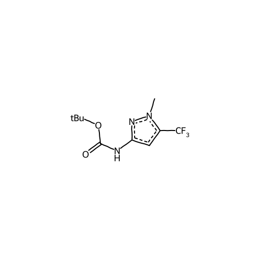 Cn1nc(NC(=O)OC(C)(C)C)cc1C(F)(F)F